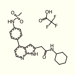 CS(=O)(=O)Nc1ccc(-c2ccnc3[nH]c(CC(=O)NC4CCCCC4)cc23)cc1.O=C(O)C(F)(F)F